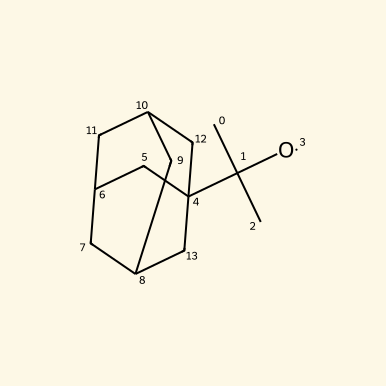 CC(C)([O])C12CC3CC(CC(C3)C1)C2